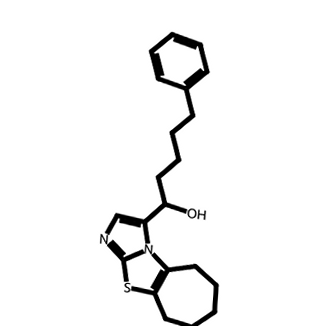 OC(CCCCc1ccccc1)c1cnc2sc3c(n12)CCCCC3